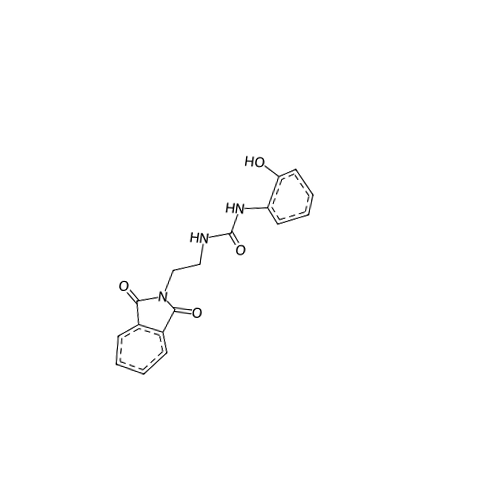 O=C(NCCN1C(=O)c2ccccc2C1=O)Nc1ccccc1O